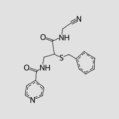 N#CCNC(=O)C(CNC(=O)c1ccncc1)SCc1ccccc1